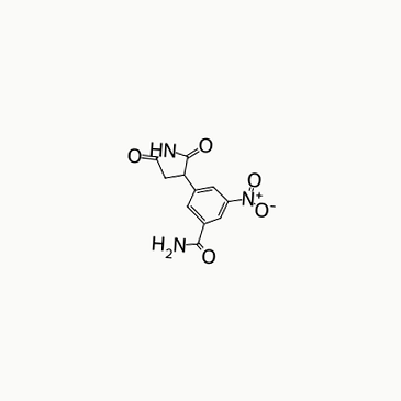 NC(=O)c1cc(C2CC(=O)NC2=O)cc([N+](=O)[O-])c1